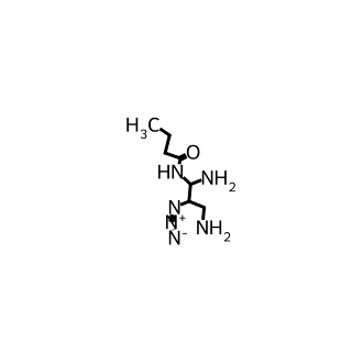 CCCC(=O)NC(N)C(CN)N=[N+]=[N-]